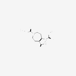 CC(C)(C)OC(=O)N1CCc2c(n(C(=O)OC(C)(C)C)[nH]c2=O)CC1